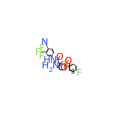 CC(N)(CS(=O)(=O)c1ccc(F)cc1)C(=O)Nc1ccc(C#N)c(C(F)(F)F)c1